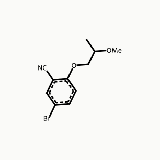 COC(C)COc1ccc(Br)cc1C#N